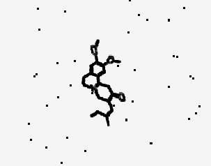 CCC(C)CC1CN2CCc3cc(OC)c(OC)cc3C2CC1=O